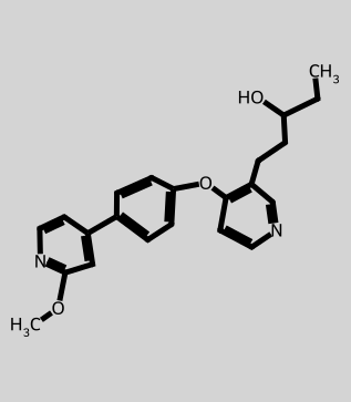 CCC(O)CCc1cnccc1Oc1ccc(-c2ccnc(OC)c2)cc1